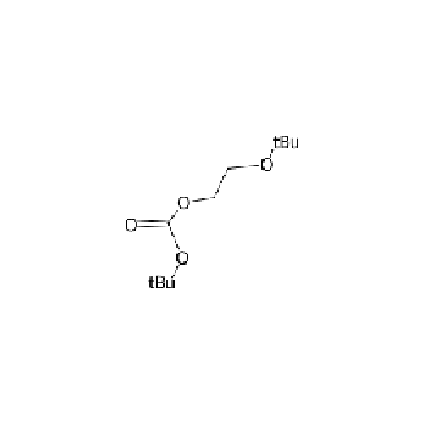 CC(C)(C)OCCOC(=O)OC(C)(C)C